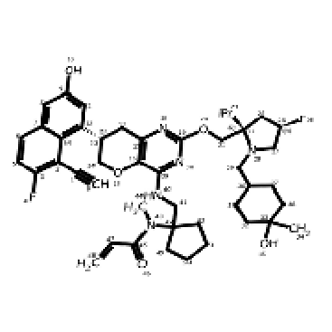 C#Cc1c(F)ccc2cc(O)cc([C@H]3COc4c(nc(OC[C@]5(C(C)C)C[C@@H](F)CN5CC5CCC(C)(O)CC5)nc4NCC4(N(C)C(=O)C=C)CCCC4)C3)c12